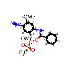 COc1cc(NC(=O)c2ccccc2)c(OC)cc1[N+]#N.O=S(=O)([O-])C(F)(F)F